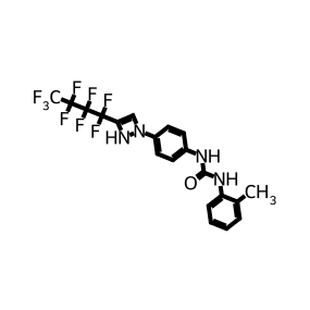 Cc1ccccc1NC(=O)Nc1ccc(-n2cc(C(F)(F)C(F)(F)C(F)(F)C(F)(F)F)[nH]2)cc1